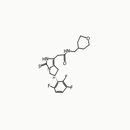 O=C(Cc1[nH]c(=S)n2c1C[C@H](c1c(F)ccc(F)c1F)C2)NCC1CCOCC1